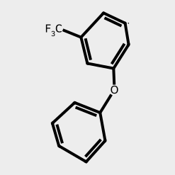 FC(F)(F)c1c[c]cc(Oc2ccccc2)c1